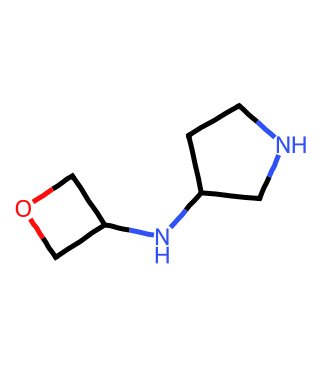 C1CC(NC2COC2)CN1